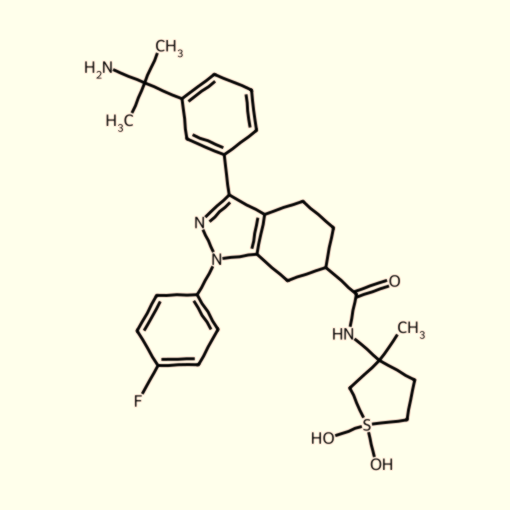 CC1(NC(=O)C2CCc3c(-c4cccc(C(C)(C)N)c4)nn(-c4ccc(F)cc4)c3C2)CCS(O)(O)C1